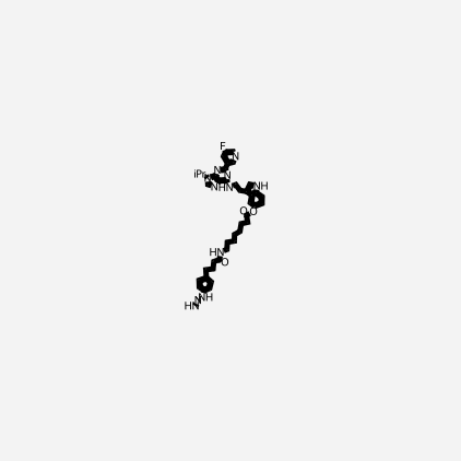 CC(C)n1cnc2c(NCCc3c[nH]c4ccc(OC(=O)CCCCCCCNC(=O)CCCc5ccc(NN=N)cc5)cc34)nc(-c3cncc(F)c3)nc21